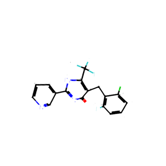 O=c1nc(-c2cccnc2)[nH]c(C(F)(F)F)c1Cc1c(F)cccc1Cl